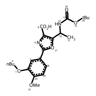 CCCCOc1cc(-c2nc(C(=O)O)c(C(C)NC(=O)OC(C)(C)C)o2)ccc1OC